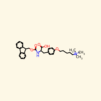 C[N+](C)(C)CCCCCOc1ccc(CC(NC(=O)OCC2c3ccccc3-c3ccccc32)C(=O)O)cc1